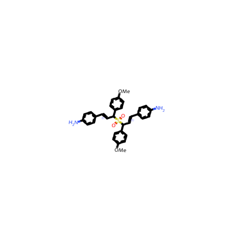 COc1ccc(C(/C=C/c2ccc(N)cc2)S(=O)(=O)C(/C=C/c2ccc(N)cc2)c2ccc(OC)cc2)cc1